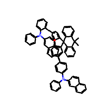 CC1(C)c2ccccc2C2(c3ccc(-c4ccccc4N(c4ccccc4)c4ccc5ccccc5c4)cc3-c3ccc(-c4ccc(N(c5ccccc5)c5ccc6ccccc6c5)cc4)cc32)c2ccccc21